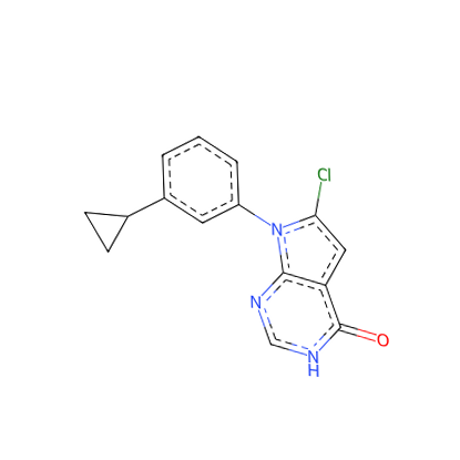 O=c1[nH]cnc2c1cc(Cl)n2-c1cccc(C2CC2)c1